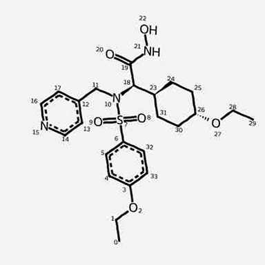 CCOc1ccc(S(=O)(=O)N(Cc2ccncc2)[C@@H](C(=O)NO)[C@H]2CC[C@H](OCC)CC2)cc1